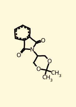 CC1(C)OCC(N2C(=O)c3ccccc3C2=O)CO1